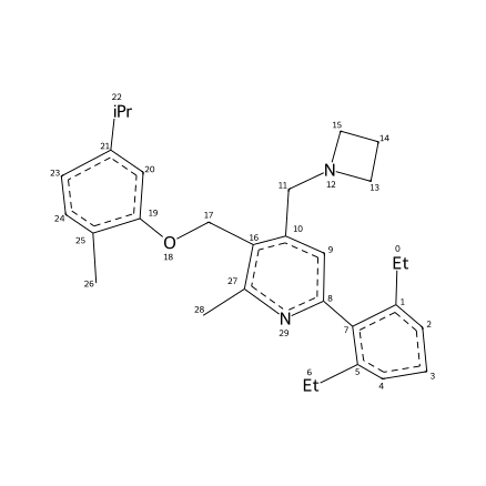 CCc1cccc(CC)c1-c1cc(CN2CCC2)c(COc2cc(C(C)C)ccc2C)c(C)n1